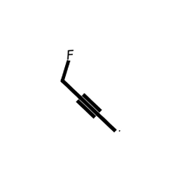 [CH2]C#CCF